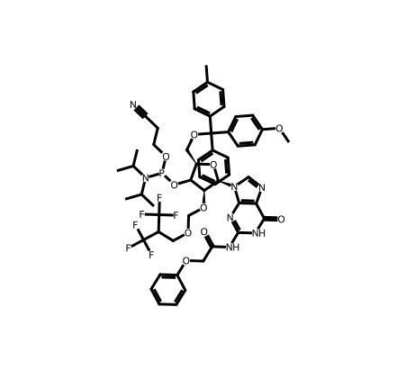 COc1ccc(C(OC[C@H]2O[C@@H](n3cnc4c(=O)[nH]c(NC(=O)COc5ccccc5)nc43)[C@@H](OCOCC(C(F)(F)F)C(F)(F)F)C2OP(OCCC#N)N(C(C)C)C(C)C)(c2ccccc2)c2ccc(C)cc2)cc1